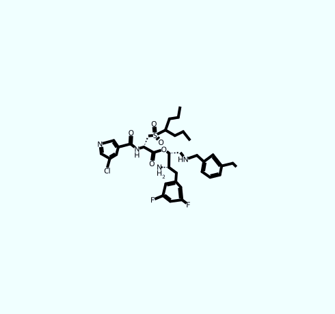 CCCC(CCC)S(=O)(=O)C[C@@H](NC(=O)c1cncc(Cl)c1)C(=O)O[C@H](CNCc1cccc(CC)c1)[C@@H](N)Cc1cc(F)cc(F)c1